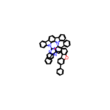 c1ccc(-c2ccc(-c3ccccc3)c(-n3c4ccccc4c4ccc5c6ccccc6n(-c6nc(-c7ccccc7)nc(-c7cccc8oc9cc(-c%10ccccc%10)ccc9c78)n6)c5c43)c2)cc1